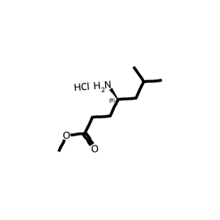 COC(=O)CC[C@@H](N)CC(C)C.Cl